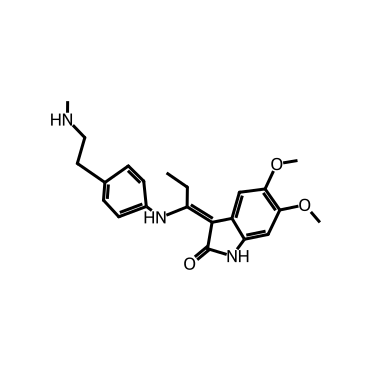 CC/C(Nc1ccc(CCNC)cc1)=C1/C(=O)Nc2cc(OC)c(OC)cc21